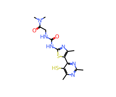 Cc1nc(C)c(S)c(-c2sc(NC(=O)NCC(=O)N(C)C)nc2C)n1